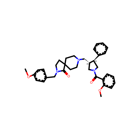 COc1ccc(CN2CCC3(CCN(C[C@H]4CN(C(=O)c5ccccc5OC)C[C@@H]4c4ccccc4)CC3)C2=O)cc1